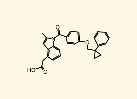 Cc1cc2c(CC(=O)O)cccc2n1C(=O)c1ccc(OCC2(c3ccccc3)CC2)cc1